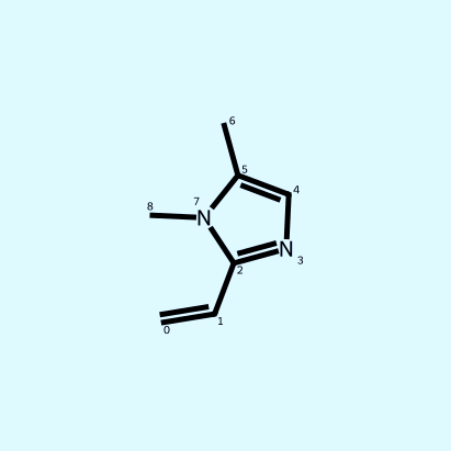 C=Cc1ncc(C)n1C